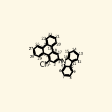 Clc1cc(-n2c3ccccc3c3ccccc32)cc2c3ccccc3c3ccccc3c12